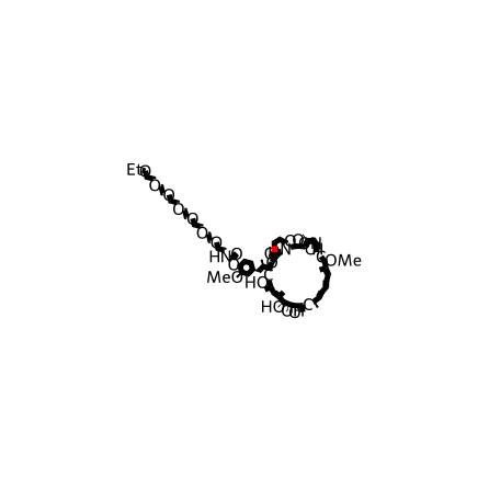 CCOCCOCCOCCOCCOCCOCCOCCNC(=O)O[C@@H]1CC[C@@H](C[C@@H](C)[C@@H]2C[C@@H](O)C(C)/C=C(\C)[C@@H](O)[C@@H](O)C(=O)C(C)C[C@H](C)/C=C/C=C/C=C(\C)[C@@H](OC)C[C@@H]3CC[C@@H](C)[C@@](O)(O3)C(=O)C(=O)N3CCCC[C@H]3C(=O)O2)C[C@H]1OC